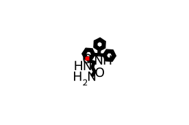 NC(=O)C1NC(=O)[C@H]1NC(c1ccccc1)(c1ccccc1)c1ccccc1